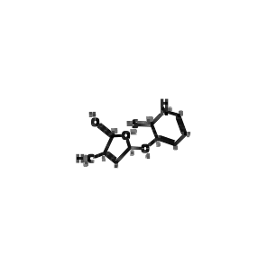 CC1=CC(Oc2ccc[nH]c2=S)OC1=O